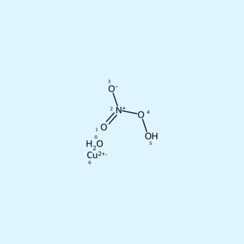 O.O=[N+]([O-])OO.[Cu+2]